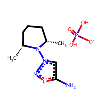 C[C@@H]1CCC[C@H](C)N1[n+]1cc(N)on1.O=P([O-])(O)O